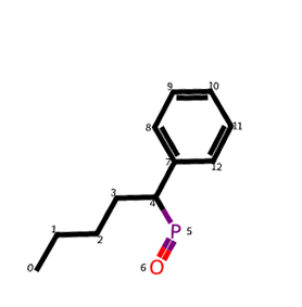 CCCCC(P=O)c1ccccc1